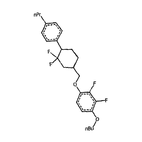 CCCCOc1ccc(OCC2CCC(c3ccc(CCC)cc3)C(F)(F)C2)c(F)c1F